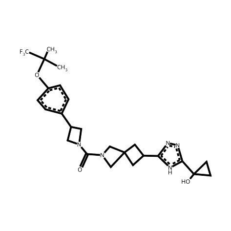 CC(C)(Oc1ccc(C2CN(C(=O)N3CC4(CC(c5nnc(C6(O)CC6)[nH]5)C4)C3)C2)cc1)C(F)(F)F